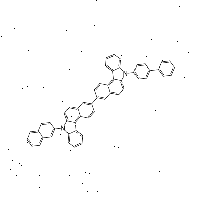 c1ccc(-c2ccc(-n3c4ccccc4c4c5ccc(-c6ccc7c(ccc8c7c7ccccc7n8-c7ccc8ccccc8c7)c6)cc5ccc43)cc2)cc1